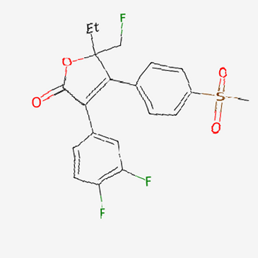 CCC1(CF)OC(=O)C(c2ccc(F)c(F)c2)=C1c1ccc(S(C)(=O)=O)cc1